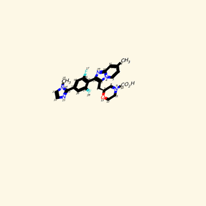 Cc1ccn2c(C[C@H]3CN(C(=O)O)CCO3)c(-c3c(F)cc(-c4nccn4C)cc3F)nc2c1